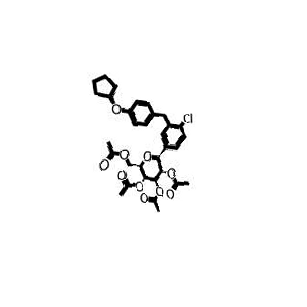 CC(=O)OC[C@H]1O[C@@H](c2ccc(Cl)c(Cc3ccc(OC4CCCC4)cc3)c2)[C@H](OC(C)=O)[C@@H](OC(C)=O)[C@@H]1OC(C)=O